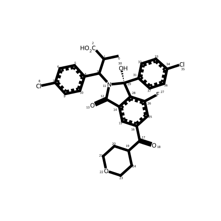 CC(C(=O)O)C(c1ccc(Cl)cc1)N1C(=O)c2cc(C(=O)C3CCOCC3)cc(F)c2[C@]1(O)c1ccc(Cl)cc1